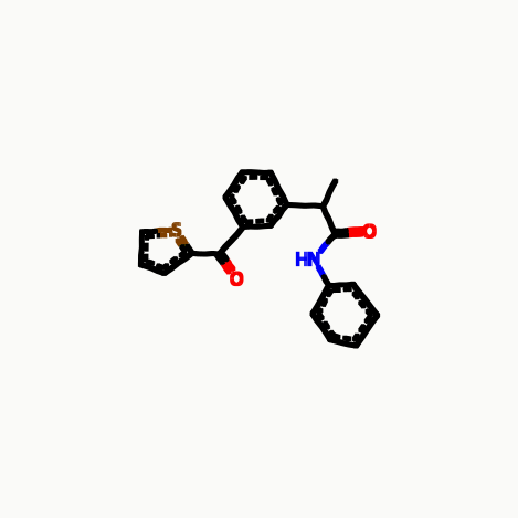 CC(C(=O)Nc1ccccc1)c1cccc(C(=O)c2cccs2)c1